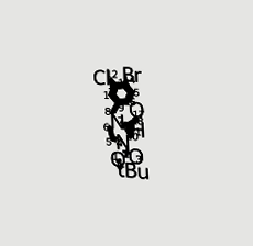 CC(C)(C)OC(=O)N1CCN2Cc3cc(Cl)c(Br)cc3OC[C@@H]2C1